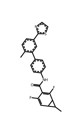 Cc1ccc(-c2nccs2)cc1-c1ccc(NC(=O)C2=C(F)C3C(C)C3C=C2F)cc1